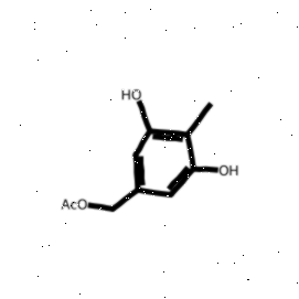 CC(=O)OCc1cc(O)c(C)c(O)c1